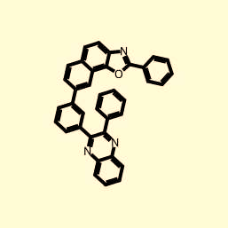 c1ccc(-c2nc3ccc4ccc(-c5cccc(-c6nc7ccccc7nc6-c6ccccc6)c5)cc4c3o2)cc1